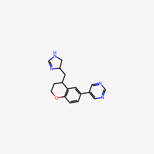 C1=NC(CC2CCOc3ccc(-c4cncnc4)cc32)CN1